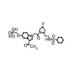 CC(=O)c1cn(CC(=O)N2C[C@H](F)C[C@H]2CCNS(=O)(=O)c2ccccc2)c2ccc(OCP(=O)(O)O)cc12